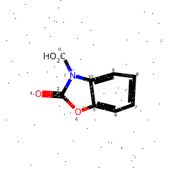 O=C(O)n1c(=O)oc2ccccc21